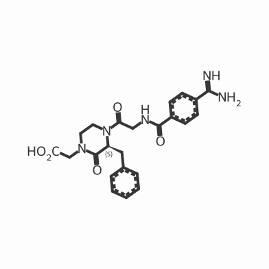 N=C(N)c1ccc(C(=O)NCC(=O)N2CCN(CC(=O)O)C(=O)[C@@H]2Cc2ccccc2)cc1